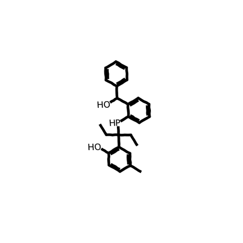 CCC(CC)(Pc1ccccc1C(O)c1ccccc1)c1cc(C)ccc1O